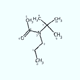 CCCN(C(C)=O)C(C)(C)C